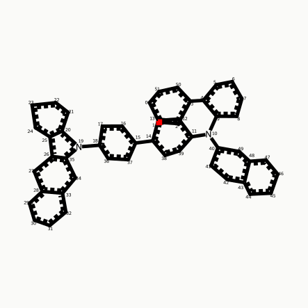 c1ccc(-c2ccccc2N(c2ccc(-c3ccc(-n4c5ccccc5c5cc6ccccc6cc54)cc3)cc2)c2ccc3ccccc3c2)cc1